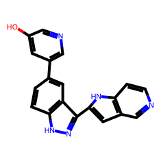 Oc1cncc(-c2ccc3[nH]nc(-c4cc5cnccc5[nH]4)c3c2)c1